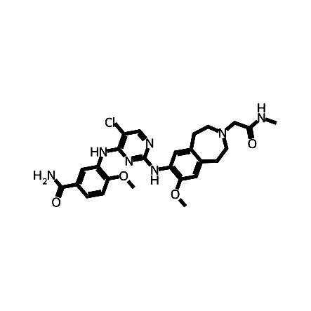 CNC(=O)CN1CCc2cc(Nc3ncc(Cl)c(Nc4cc(C(N)=O)ccc4OC)n3)c(OC)cc2CC1